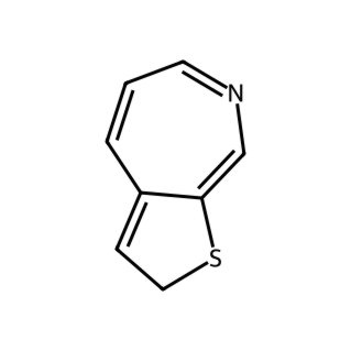 C1=CC2=CCSC2=CN=C1